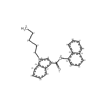 CCCCCn1cc(C(=O)Oc2cccc3ccccc23)c2ccccc21